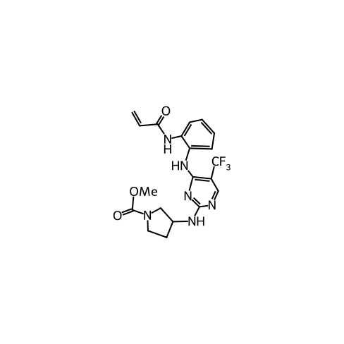 C=CC(=O)Nc1ccccc1Nc1nc(NC2CCN(C(=O)OC)C2)ncc1C(F)(F)F